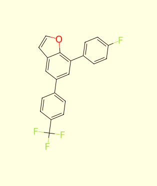 Fc1ccc(-c2cc(-c3ccc(C(F)(F)F)cc3)cc3ccoc23)cc1